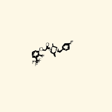 CC1CN(C(=O)COc2cccc(C(F)(F)F)c2F)C(C)CN1Cc1ccc(F)cc1